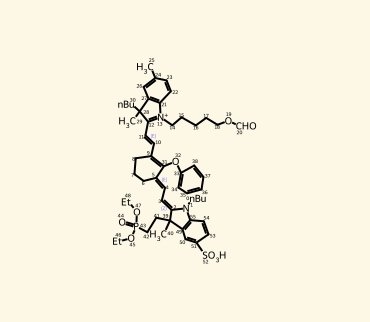 CCCCN1/C(=C\C=C2/CCCC(/C=C/C3=[N+](CCCCCOC=O)c4ccc(C)cc4C3(C)CCCC)=C2Oc2ccccc2)C(C)(CCP(=O)(OCC)OCC)c2cc(S(=O)(=O)O)ccc21